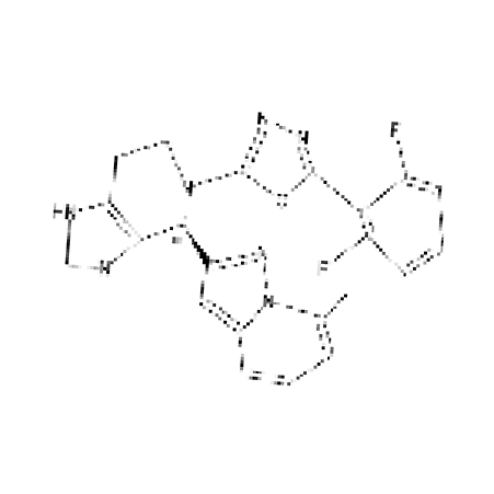 Cc1cccc2cc([C@H]3c4nc[nH]c4CCN3c3nnc(-c4c(F)cccc4F)o3)nn12